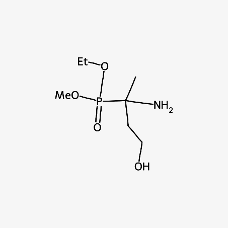 CCOP(=O)(OC)C(C)(N)CCO